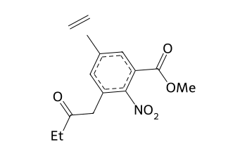 C=C.CCC(=O)Cc1cc(C)cc(C(=O)OC)c1[N+](=O)[O-]